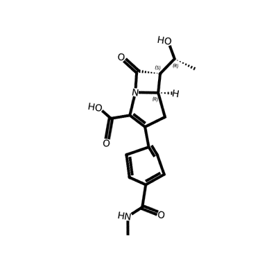 CNC(=O)c1ccc(C2=C(C(=O)O)N3C(=O)[C@H]([C@@H](C)O)[C@H]3C2)cc1